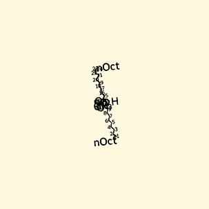 CCCCCCCCC=CCCCCCCCC(=O)OC(=O)CCCCCCC/C=C\CCCCCCCC.O=S(=O)(O)O